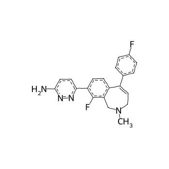 CN1CC=C(c2ccc(F)cc2)c2ccc(-c3ccc(N)nn3)c(F)c2C1